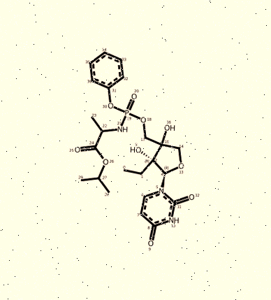 CC[C@]1(O)[C@H](n2ccc(=O)[nH]c2=O)OCC1(O)COP(=O)(NC(C)C(=O)OC(C)C)Oc1ccccc1